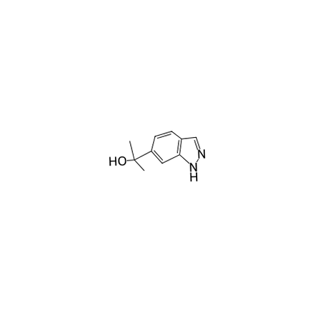 CC(C)(O)c1ccc2cn[nH]c2c1